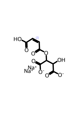 O=C(O)/C=C\C(=O)OC(C(=O)[O-])C(O)C(=O)[O-].[Na+].[Na+]